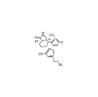 CC[C@@]12CC[C@@H](c3ccc(CCC(C)=O)cc3Cl)[C@H](c3ccc(Cl)cc3)[C@@H]1[C@@H](C)NC2=O